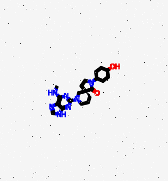 CNc1nc(N2CCC[C@@]3(CCN(C4CCC(O)CC4)C3=O)C2)nc2[nH]cnc12